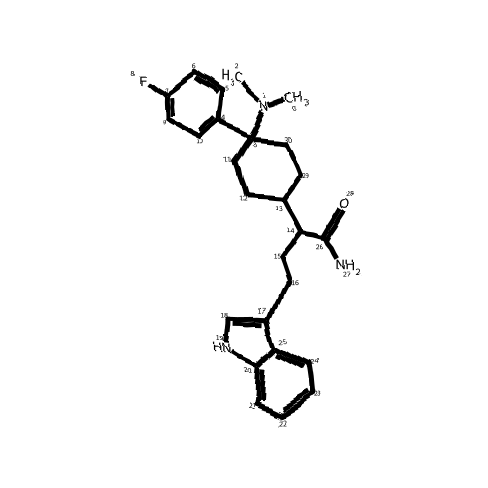 CN(C)C1(c2ccc(F)cc2)CCC(C(CCc2c[nH]c3ccccc23)C(N)=O)CC1